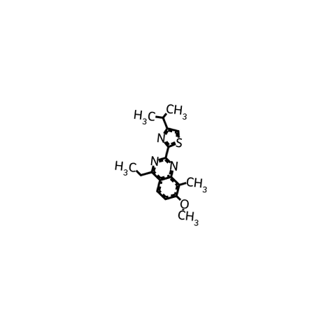 CCc1nc(-c2nc(C(C)C)cs2)nc2c(C)c(OC)ccc12